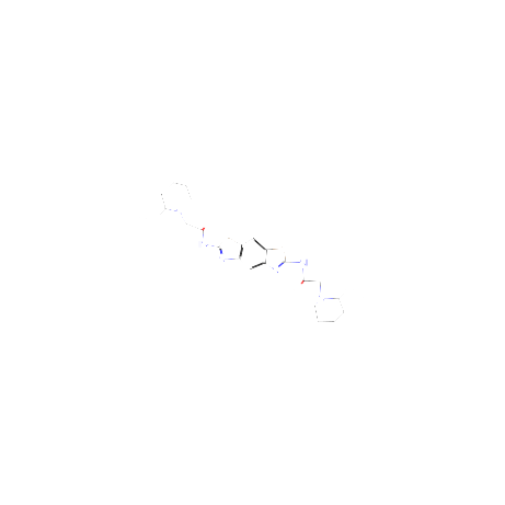 CCOC(=O)C1CCCCN1CC(=O)Nc1nc2cc3nc(NC(=O)CN4CCCCC4C(=O)OCC)sc3cc2s1